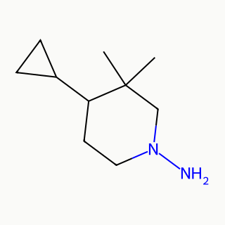 CC1(C)CN(N)CCC1C1CC1